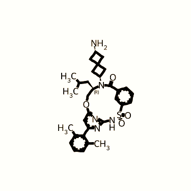 Cc1cccc(C)c1-c1cc2nc(n1)NS(=O)(=O)c1cccc(c1)C(=O)N([C@H]1CC3(C[C@@H](N)C3)C1)[C@H](CC(C)C)CO2